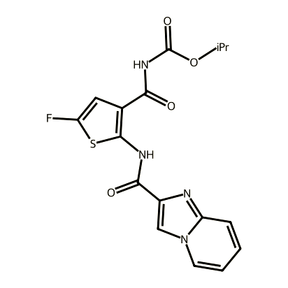 CC(C)OC(=O)NC(=O)c1cc(F)sc1NC(=O)c1cn2ccccc2n1